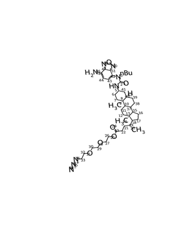 CCCCN(C(=O)N[C@@H]1CC[C@]2(C)C3CC[C@@]4(C)C(CCC4[C@H](C)CCC(=O)OCCOCCOCCN=[N+]=[N-])C3CC[C@@H]2C1)c1ccc(N)c2nonc12